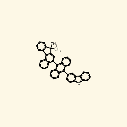 CC1(C)c2ccccc2-c2c1cc(-c1c3ccccc3c(-c3ccc4oc5ccccc5c4c3)c3ccccc13)c1ccccc21